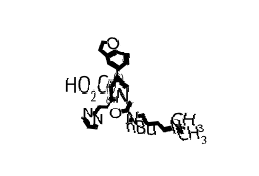 CCCCN(CCCCN(C)C)C(=O)CN1C[C@H](c2ccc3c(c2)CCO3)[C@@H](C(=O)O)[C@@H]1CCc1ncccn1